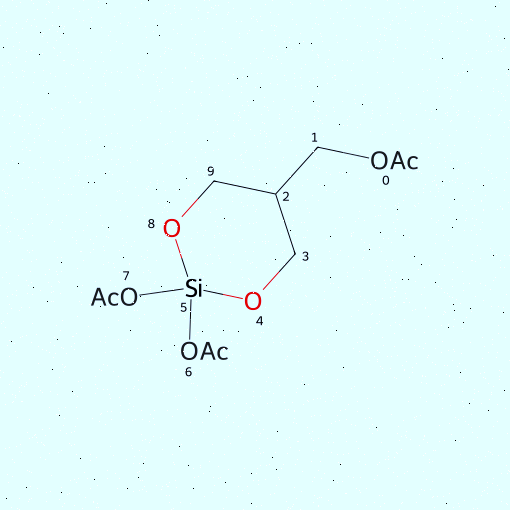 CC(=O)OCC1CO[Si](OC(C)=O)(OC(C)=O)OC1